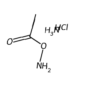 CC(=O)ON.Cl.N